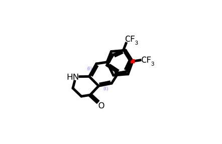 O=C1CCNC(=C/c2ccc(C(F)(F)F)cc2)/C1=C\c1ccc(C(F)(F)F)cc1